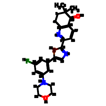 CC1(C)CCc2nc(-c3ncc(-c4cc(F)cc(N5CCOCC5)c4)s3)ccc2C1=O